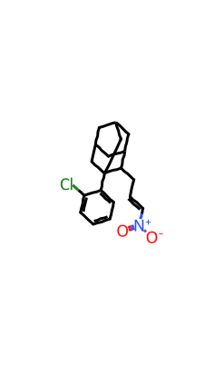 O=[N+]([O-])C=CCC1C2CC3CC(C2)CC1(c1ccccc1Cl)C3